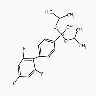 CC(C)O[Si](O)(OC(C)C)c1ccc(-c2c(F)cc(F)cc2F)cc1